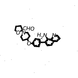 Nc1c(-c2ccc(OC3CCN([C@]4(C=O)CCCO4)CC3)cc2)ccc2cccnc12